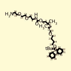 CC(C)(CCOC(=O)NCCOCCOCCN)SSCOCCCCO[Si](c1ccccc1)(c1ccccc1)C(C)(C)C